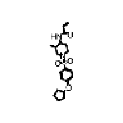 C=CC(=O)NC1CCN(S(=O)(=O)c2ccc(OC3CCCC3)cc2)CC1C